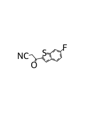 N#CCC(=O)c1cc2ccc(F)cc2s1